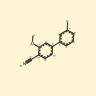 COc1cc(-c2cccc(C)c2)ccc1C#N